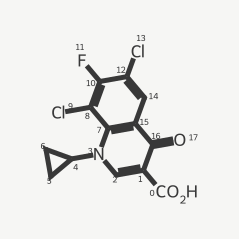 O=C(O)c1cn(C2CC2)c2c(Cl)c(F)c(Cl)cc2c1=O